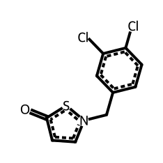 O=c1ccn(Cc2ccc(Cl)c(Cl)c2)s1